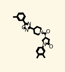 Cc1cccc(-c2nc(C3CCN(C(=O)[C@H]4CC(=O)N(c5ccc(C)c(C)c5)C4)CC3)no2)c1